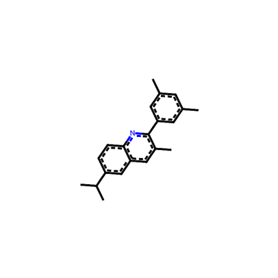 Cc1cc(C)cc(-c2nc3ccc(C(C)C)cc3cc2C)c1